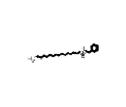 CCCCCCCCCCCCCCC[CH2][SbH+]([O-])[CH2]Cc1ccccc1